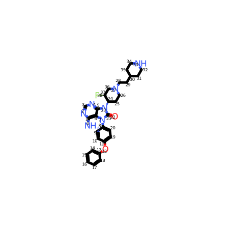 Nc1ncnc2c1n(-c1ccc(Oc3ccccc3)cc1)c(=O)n2[C@@H]1CCN(CCC2CCNCC2)C[C@@H]1F